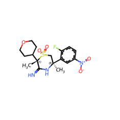 C[C@@]1(c2cc([N+](=O)[O-])ccc2F)CS(=O)(=O)[C@@](C)(C2CCOCC2)C(=N)N1